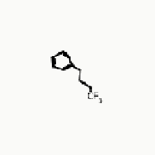 FC(F)(F)[CH]CCc1ccccc1